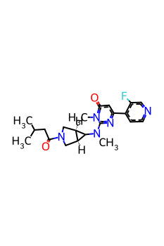 CC(C)CC(=O)N1C[C@@H]2C(N(C)c3nc(-c4ccncc4F)cc(=O)n3C)[C@@H]2C1